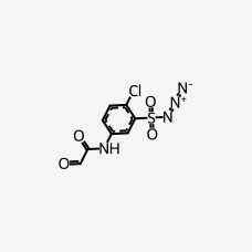 [N-]=[N+]=NS(=O)(=O)c1cc(NC(=O)C=O)ccc1Cl